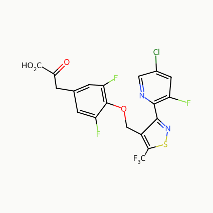 O=C(O)C(=O)Cc1cc(F)c(OCc2c(-c3ncc(Cl)cc3F)nsc2C(F)(F)F)c(F)c1